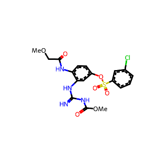 COCC(=O)Nc1ccc(OS(=O)(=O)c2cccc(Cl)c2)cc1NC(=N)NC(=O)OC